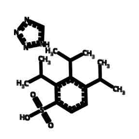 CC(C)c1ccc(S(=O)(=O)O)c(C(C)C)c1C(C)C.c1nnn[nH]1